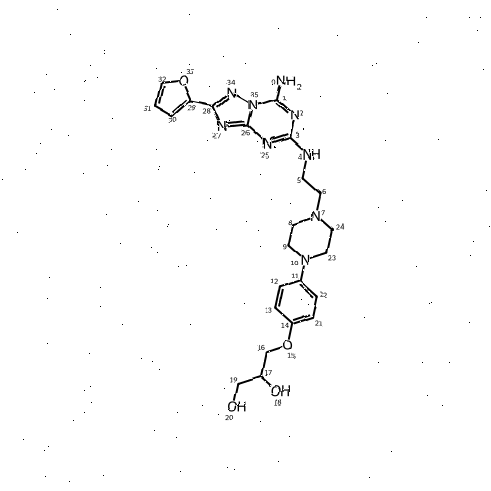 Nc1nc(NCCN2CCN(c3ccc(OCC(O)CO)cc3)CC2)nc2nc(-c3ccco3)nn12